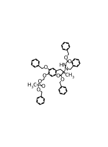 C[C@](Cc1ccc(OCOP(C)(=O)OCc2ccccc2)c(OCc2ccccc2)c1)(C(=O)OCc1ccccc1)N(Cc1ccccc1)NC(=O)OCc1ccccc1